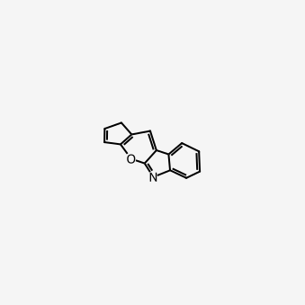 C1=Cc2oc3nc4ccccc4c-3cc2C1